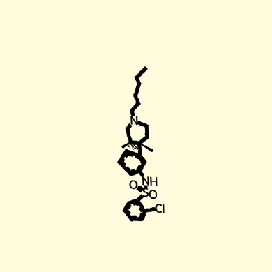 CCCCCCN1CC[C@](C)(c2cccc(NS(=O)(=O)c3ccccc3Cl)c2)[C@@H](C)C1